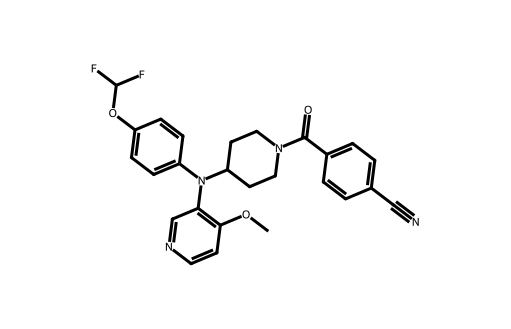 COc1ccncc1N(c1ccc(OC(F)F)cc1)C1CCN(C(=O)c2ccc(C#N)cc2)CC1